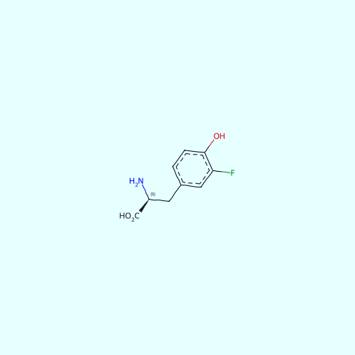 N[C@@H](Cc1ccc(O)c(F)c1)C(=O)O